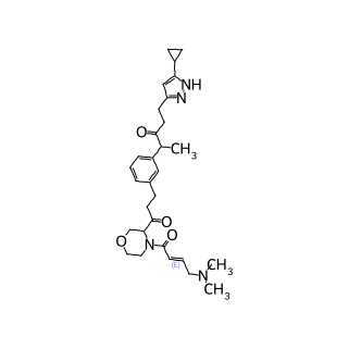 CC(C(=O)CCc1cc(C2CC2)[nH]n1)c1cccc(CCC(=O)C2COCCN2C(=O)/C=C/CN(C)C)c1